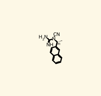 C[C@H](c1ccc2ccccc2c1)N(C#N)C(=N)N